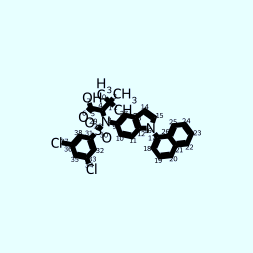 CC(C)(C)C(C(=O)O)N(c1ccc2c(ccn2-c2cccc3ccccc23)c1)S(=O)(=O)c1cc(Cl)cc(Cl)c1